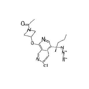 CCC[C@](C)(N=[N+]=[N-])c1cnc(OC2CN(C(C)=O)C2)c2cnc(Cl)cc12